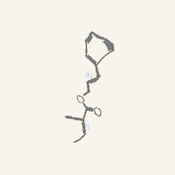 C/C=C(\C)C(=O)OC/C=C/c1ccccc1